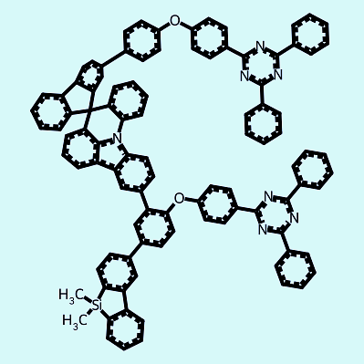 C[Si]1(C)c2ccccc2-c2cc(-c3ccc(Oc4ccc(-c5nc(-c6ccccc6)nc(-c6ccccc6)n5)cc4)c(-c4ccc5c(c4)c4cccc6c4n5-c4ccccc4C64c5ccccc5-c5ccc(-c6ccc(Oc7ccc(-c8nc(-c9ccccc9)nc(-c9ccccc9)n8)cc7)cc6)cc54)c3)ccc21